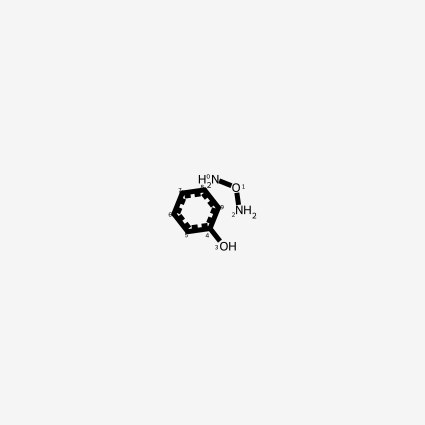 NON.Oc1ccccc1